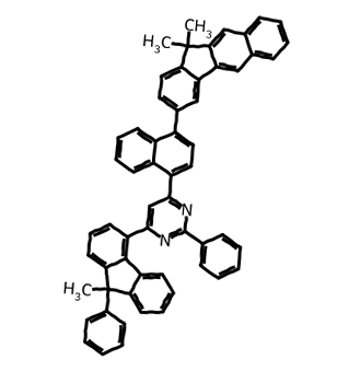 CC1(C)c2ccc(-c3ccc(-c4cc(-c5cccc6c5-c5ccccc5C6(C)c5ccccc5)nc(-c5ccccc5)n4)c4ccccc34)cc2-c2cc3ccccc3cc21